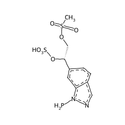 CS(=O)(=O)OC[C@@H](OS(=O)(=O)O)c1ccc2cnn(P)c2c1